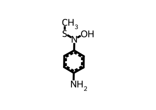 CSN(O)c1ccc(N)cc1